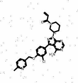 C=CC(=O)N1CCC[C@@H](n2nc(-c3ccc(OCc4ccc(C)nc4)c(Cl)c3)c3c(N)ncnc32)C1